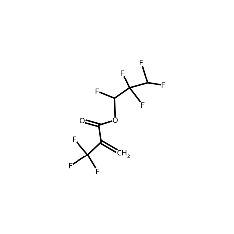 C=C(C(=O)OC(F)C(F)(F)C(F)F)C(F)(F)F